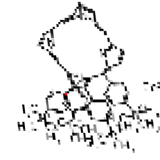 C[N+](C)(C)c1ccc(-c2c(-c3ccc([N+](C)(C)C)cc3)c3c(-c4ccc([N+](C)(C)C)cc4)c4nc(cc5ccc(cc6nc(cc2n3-c2ccc([N+](C)(C)C)cc2)C=C6)[nH]5)C=C4)cc1.[Co+2]